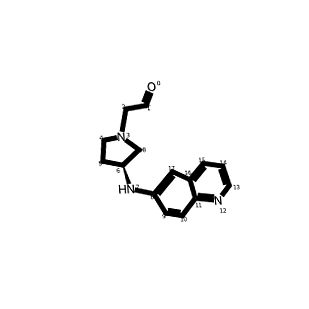 O=[C]CN1CC[C@H](Nc2ccc3ncccc3c2)C1